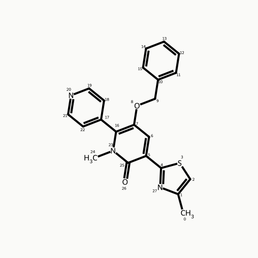 Cc1csc(-c2cc(OCc3ccccc3)c(-c3ccncc3)n(C)c2=O)n1